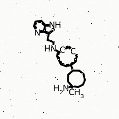 CC1(N)CCCCCC(c2cccccc(NCCc3c[nH]c4cccnc34)ccc2)CC1